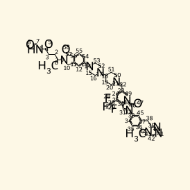 CC(CCC(=O)NC=O)N1Cc2cc(N3CCN(C4CCN(Cc5cc(C(F)(F)F)c6cn(-c7cccc(Cc8nncn8C)c7)c(=O)n6c5)CC4)CC3)ccc2C1=O